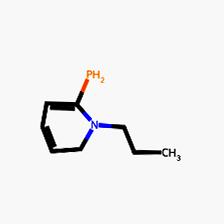 CCCN1CC=CC=C1P